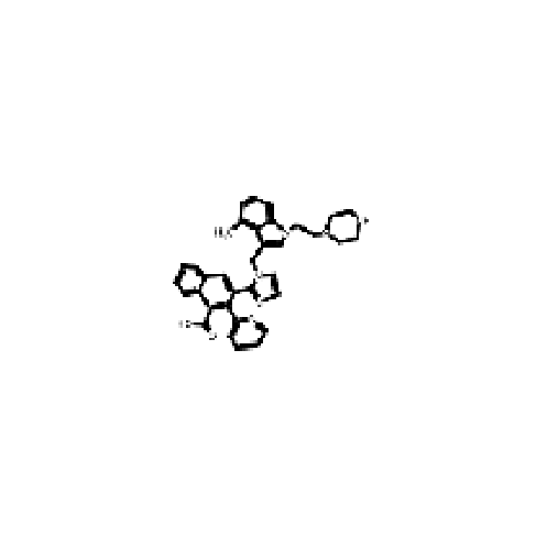 Cc1cccc2c1c(Cn1ccnc1-c1cc3ccccc3c(C(=O)O)c1-c1ccccn1)cn2CCN1CCNCC1